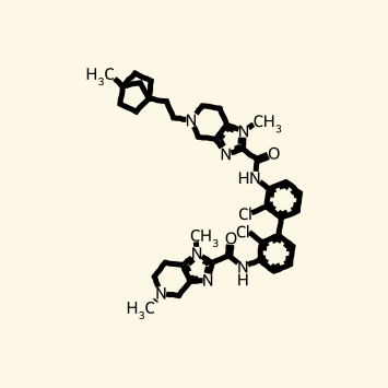 CN1CCc2c(nc(C(=O)Nc3cccc(-c4cccc(NC(=O)c5nc6c(n5C)CCN(CCC57CCC(C)(CC5)C7)C6)c4Cl)c3Cl)n2C)C1